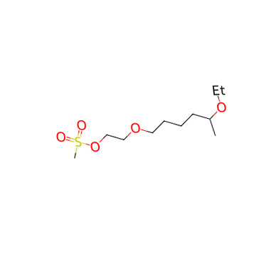 CCOC(C)CCCCOCCOS(C)(=O)=O